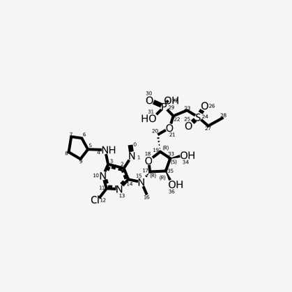 C=Nc1c(NC2CCCC2)nc(Cl)nc1N(C)[C@@H]1O[C@H](COC(CS(=O)(=O)CC)P(=O)(O)O)[C@@H](O)[C@H]1O